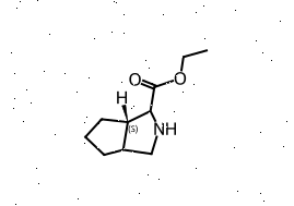 CCOC(=O)C1NCC2CCC[C@@H]21